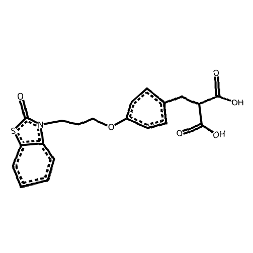 O=C(O)C(Cc1ccc(OCCCn2c(=O)sc3ccccc32)cc1)C(=O)O